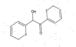 O=C(C1=CC=CCS1)C(O)C1=CC=CCS1